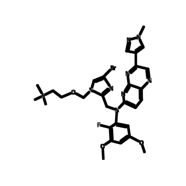 COc1cc(OC)c(F)c(N(Cc2nc(Br)cn2COCCS(C)(C)C)c2ccc3ncc(-c4cnn(C)c4)nc3n2)c1